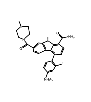 CC(=O)Nc1ccc(-c2ccc(C(N)=O)c3[nH]c4cc(C(=O)N5CCN(C)CC5)ccc4c23)c(F)c1